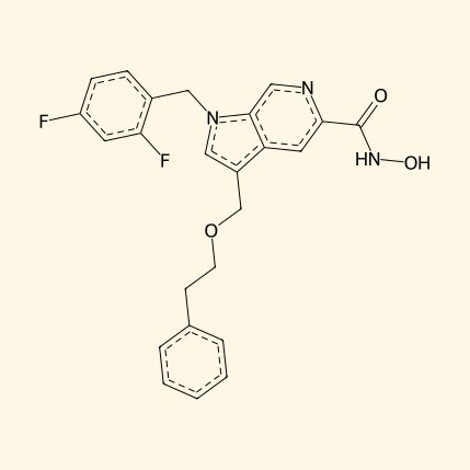 O=C(NO)c1cc2c(COCCc3ccccc3)cn(Cc3ccc(F)cc3F)c2cn1